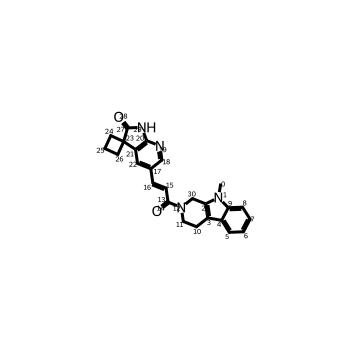 Cn1c2c(c3ccccc31)CCN(C(=O)/C=C/c1cnc3c(c1)C1(CCC1)C(=O)N3)C2